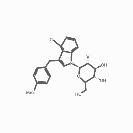 CSc1ccc(Cc2cn([C@@H]3O[C@H](CO)[C@@H](O)[C@H](O)[C@H]3O)c3cccc(Cl)c23)cc1